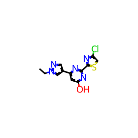 CCn1cc(-c2cc(O)nc(-c3nc(Cl)cs3)n2)cn1